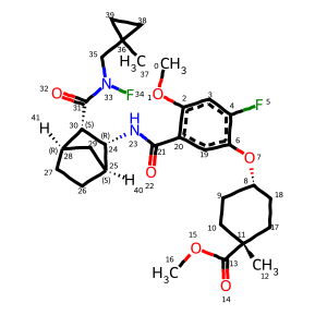 COc1cc(F)c(O[C@H]2CC[C@@](C)(C(=O)OC)CC2)cc1C(=O)N[C@@H]1[C@H]2CC[C@H](C2)[C@@H]1C(=O)N(F)CC1(C)CC1